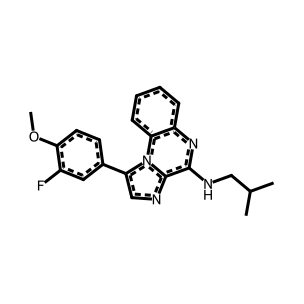 COc1ccc(-c2cnc3c(NCC(C)C)nc4ccccc4n23)cc1F